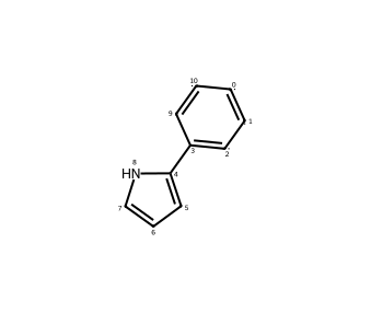 [c]1[c][c]c(-c2ccc[nH]2)c[c]1